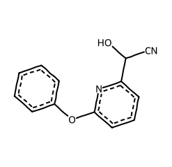 N#CC(O)c1cccc(Oc2ccccc2)n1